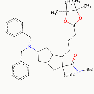 CC(=O)NC1(C(=O)NC(C)(C)C)CC2CC(N(Cc3ccccc3)Cc3ccccc3)CC2C1CCCB1OC(C)(C)C(C)(C)O1